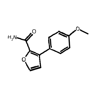 COc1ccc(-c2ccoc2C(N)=O)cc1